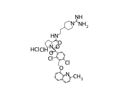 Cc1ccc2cccc(OCc3c(Cl)ccc(S(=O)(=O)N4CCC[C@H]4C(=O)NCCC4CCN(C(=N)N)CC4)c3Cl)c2n1.Cl.Cl